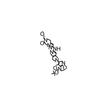 COCCN1CCc2cc(Nc3cc4c(cn3)CCN(c3cnc5c(c3C)N(C(=O)OC(C)(C)C)CCO5)C4)nn2CC1=O